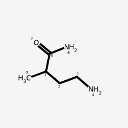 CC(CCN)C(N)=O